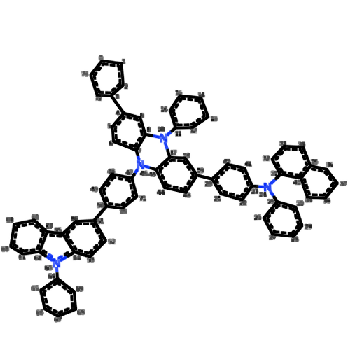 c1ccc(-c2ccc3c(c2)N(c2ccccc2)c2cc(-c4ccc(N(c5ccccc5)c5cccc6ccccc56)cc4)ccc2N3c2ccc(-c3ccc4c(c3)c3ccccc3n4-c3ccccc3)cc2)cc1